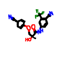 C[C@@](O)(COc1ccc(C#N)cc1)C(=O)Nc1ccc(C#N)c(C(F)(F)F)c1